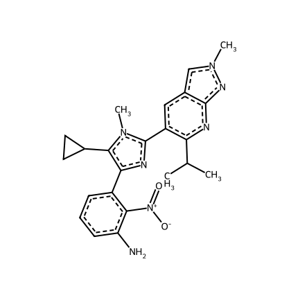 CC(C)c1nc2nn(C)cc2cc1-c1nc(-c2cccc(N)c2[N+](=O)[O-])c(C2CC2)n1C